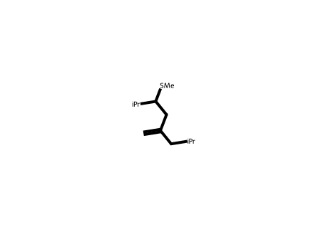 C=C(CC(C)C)CC(SC)C(C)C